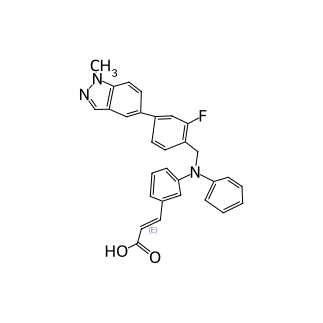 Cn1ncc2cc(-c3ccc(CN(c4ccccc4)c4cccc(/C=C/C(=O)O)c4)c(F)c3)ccc21